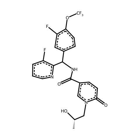 C[C@H](O)Cn1cc(C(=O)NC(c2ccc(OC(F)(F)F)c(F)c2)c2ncccc2F)ccc1=O